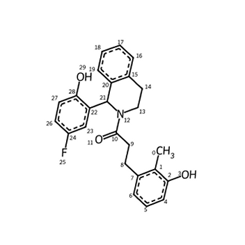 Cc1c(O)cccc1CCC(=O)N1CCc2ccccc2C1c1cc(F)ccc1O